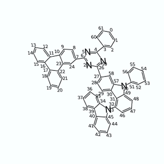 c1ccc(-c2nc(-c3ccc4c5ccccc5c5ccccc5c4c3)nc(-c3ccc4c5c(-n6c7ccccc7c7ccccc76)cccc5n(-c5ccccc5)c4c3)n2)cc1